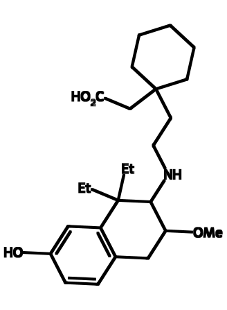 CCC1(CC)c2cc(O)ccc2CC(OC)C1NCCC1(CC(=O)O)CCCCC1